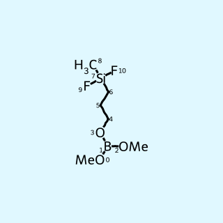 COB(OC)OCCC[Si](C)(F)F